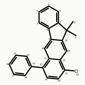 CC1(C)c2ccccc2-c2cc3c(-c4ccccc4)ccc(Cl)c3cc21